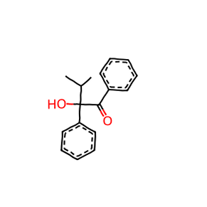 CC(C)C(O)(C(=O)c1ccccc1)c1ccccc1